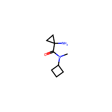 CN(C(=O)C1(N)CC1)C1CCC1